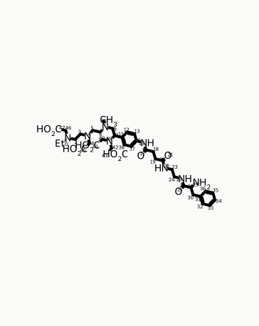 CCN(CCN(CCN(C)CC(c1ccc(NC(=O)CCC(=O)NCCNC(=O)C(N)Cc2ccccc2)cc1)N(CC(=O)O)CC(=O)O)CC(=O)O)CC(=O)O